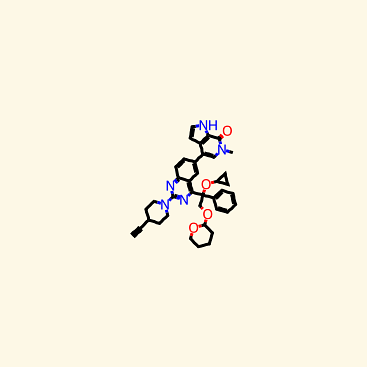 C#CC1CCN(c2nc(C(COC3CCCCO3)(OC3CC3)c3ccccc3)c3cc(-c4cn(C)c(=O)c5[nH]ccc45)ccc3n2)CC1